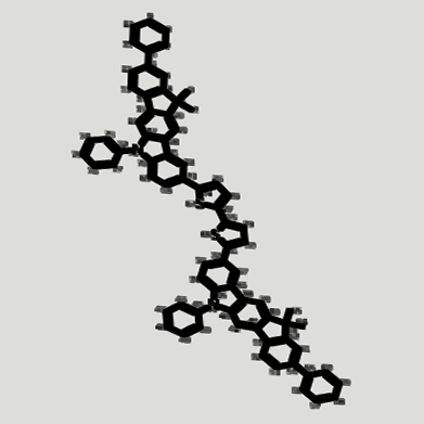 CC1(C)c2cc(-c3ccccc3)ccc2-c2cc3c(cc21)c1cc(-c2ccc(-c4ccc(-c5ccc6c(c5)c5cc7c(cc5n6-c5ccccc5)-c5ccc(-c6ccccc6)cc5C7(C)C)s4)s2)ccc1n3-c1ccccc1